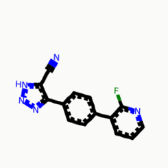 N#Cc1[nH]nnc1-c1ccc(-c2cccnc2F)cc1